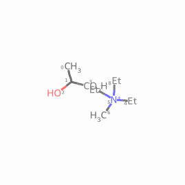 CC(O)C(=O)O.CC[N+](C)(CC)CC